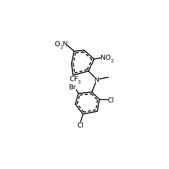 CN(c1c(Cl)cc(Cl)cc1Br)c1c([N+](=O)[O-])cc([N+](=O)[O-])cc1C(F)(F)F